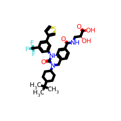 CC(C)(C)C1CCC(N(Cc2ccc(C(=O)NC[C@@H](O)C(=O)O)cc2)C(=O)Nc2cc(-c3ccsc3)cc(C(F)(F)F)c2)CC1